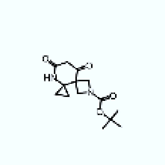 CC(C)(C)OC(=O)N1CC2(C1)C(=O)CC(=O)NC21CC1